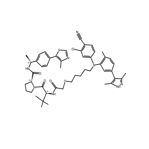 Cc1ccc(-c2c(C)n[nH]c2C)cc1N(CCCCCOCC(=O)N[C@H](C(=O)N1CCC[C@H]1C(=O)N[C@@H](C)c1ccc(-c2scnc2C)cc1)C(C)(C)C)c1ccc(C#N)c(Cl)c1